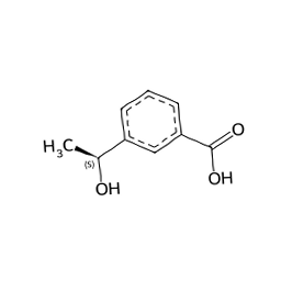 C[C@H](O)c1cccc(C(=O)O)c1